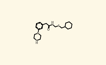 O=C(Cc1cccc(N2CCNCC2)c1)NCSCC1CCCCC1